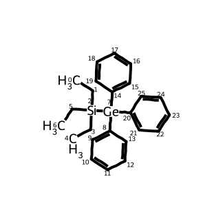 CC[Si](CC)(CC)[Ge]([c]1ccccc1)([c]1ccccc1)[c]1ccccc1